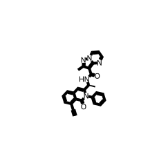 C#Cc1cccc2cc([C@H](C)NC(=O)c3c(C)nn4cccnc34)n(-c3ccccc3)c(=O)c12